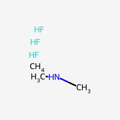 C.CNC.F.F.F